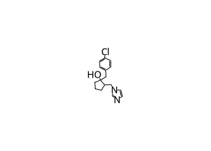 OC1(Cc2ccc(Cl)cc2)CCCC1Cn1ccnc1